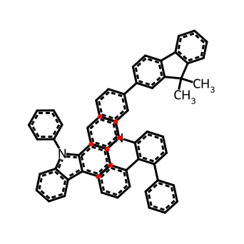 CC1(C)c2ccccc2-c2ccc(-c3cccc(N(c4ccc5c6ccccc6n(-c6ccccc6)c5c4)c4cccc(-c5ccccc5)c4-c4ccccc4-c4ccccc4)c3)cc21